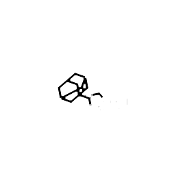 CC(=O)OCC12CC3CC(C1)C(OCC(=O)O)C(C3)C2